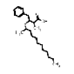 CCCCCCCCCCC(C)SC(Cc1ccccc1)C(C)C(=O)O